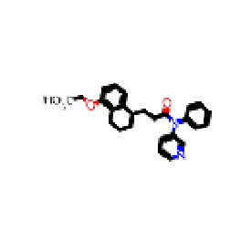 O=C(O)COc1cccc2c1CCCC2CCC(=O)N(c1ccccc1)c1cccnc1